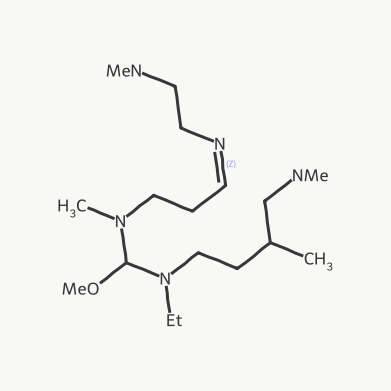 CCN(CCC(C)CNC)C(OC)N(C)CC/C=N\CCNC